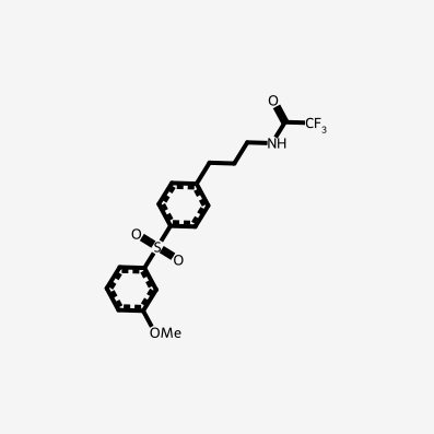 COc1cccc(S(=O)(=O)c2ccc(CCCNC(=O)C(F)(F)F)cc2)c1